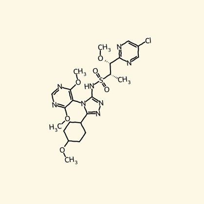 COc1ncnc(OC)c1-n1c(NS(=O)(=O)[C@@H](C)[C@H](OC)c2ncc(Cl)cn2)nnc1C1CCC(OC)CC1